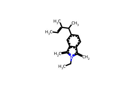 C=c1c2ccc(C(C)C(C)=CC)cc2c(=C)n1CC